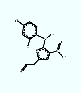 O=CCc1cc([N+](=O)[O-])c([S+]([O-])c2ccc(Cl)cc2Cl)s1